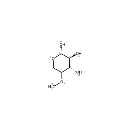 CO[C@@H]1CO[C@H](O)[C@@H](O)[C@@H]1O